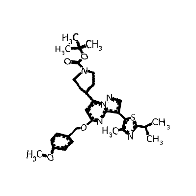 COc1ccc(COc2cc(C3CCN(C(=O)OC(C)(C)C)CC3)n3ncc(-c4sc(C(C)C)nc4C)c3n2)cc1